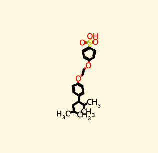 CC(C)CC(c1ccc(OCCOc2ccc(S(=O)(=O)O)cc2)cc1)C(C)C